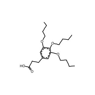 CCCCOc1cc(CCC(=O)O)cc(OCCCC)c1OCCCC